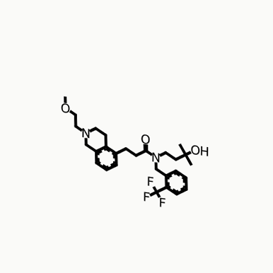 COCCN1CCc2c(CCC(=O)N(CCC(C)(C)O)Cc3ccccc3C(F)(F)F)cccc2C1